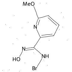 COc1cccc(C(=NO)NBr)n1